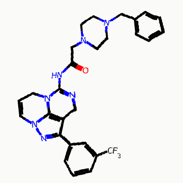 O=C(CN1CCN(Cc2ccccc2)CC1)NC1=NCc2c(-c3cccc(C(F)(F)F)c3)nn3c2N1CC=C3